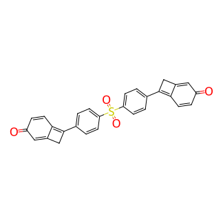 O=C1C=CC2=C(c3ccc(S(=O)(=O)c4ccc(C5=C6C=CC(=O)C=C6C5)cc4)cc3)CC2=C1